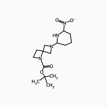 CC(C)(C)OC(=O)N1CCC12CN(C1CCCC([N+](=O)[O-])N1)C2